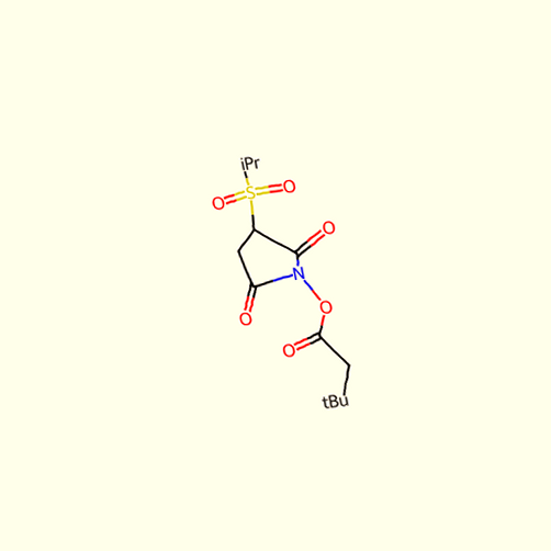 CC(C)S(=O)(=O)C1CC(=O)N(OC(=O)CC(C)(C)C)C1=O